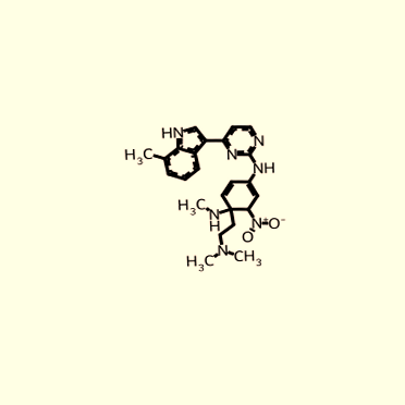 CNC1(CCN(C)C)C=CC(Nc2nccc(-c3c[nH]c4c(C)cccc34)n2)=CC1[N+](=O)[O-]